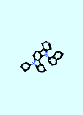 C1=Cc2c(c3ccc4c(c5ccccc5n4-c4ccccc4)c3n2-c2cccc3ccccc23)CC1